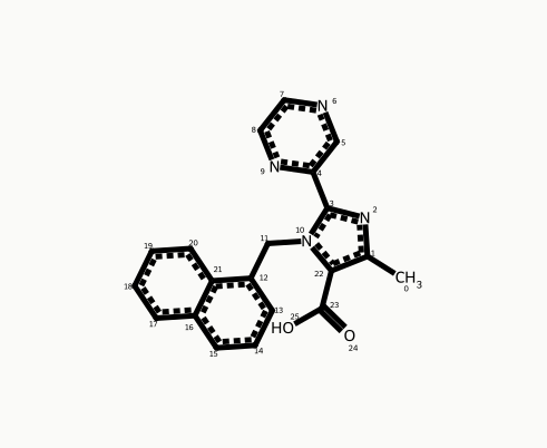 Cc1nc(-c2cnccn2)n(Cc2cccc3ccccc23)c1C(=O)O